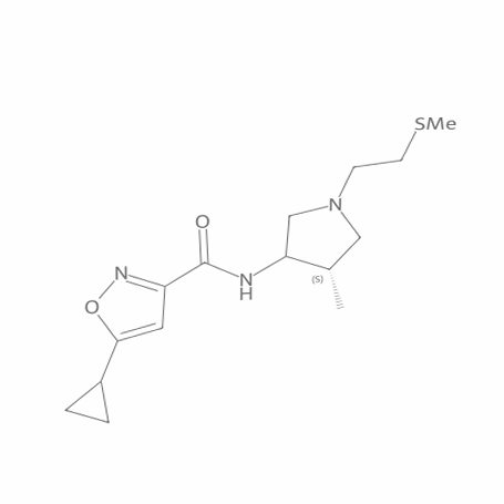 CSCCN1CC(NC(=O)c2cc(C3CC3)on2)[C@@H](C)C1